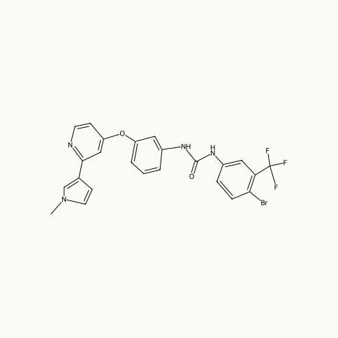 Cn1ccc(-c2cc(Oc3cccc(NC(=O)Nc4ccc(Br)c(C(F)(F)F)c4)c3)ccn2)c1